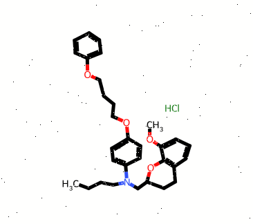 CCCCN(CC1CCc2cccc(OC)c2O1)c1ccc(OCCCCOc2ccccc2)cc1.Cl